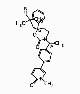 C[C@@H](c1ccc(-c2ccc(=O)n(C)c2)cc1)N1CC[C@@](CC(C)(C)C#N)(c2ccccc2)OC1=O